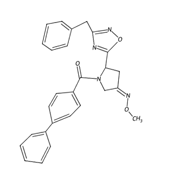 CON=C1CC(c2nc(Cc3ccccc3)no2)N(C(=O)c2ccc(-c3ccccc3)cc2)C1